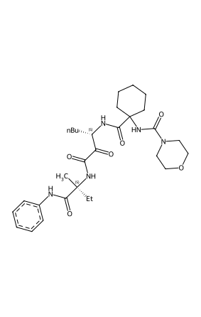 CCCC[C@H](NC(=O)C1(NC(=O)N2CCOCC2)CCCCC1)C(=O)C(=O)N[C@@](C)(CC)C(=O)Nc1ccccc1